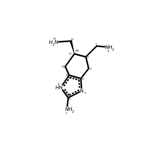 NCC1Cc2nc(N)[nH]c2C[C@H]1CN